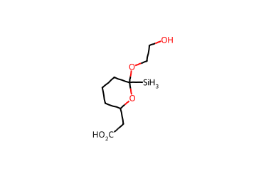 O=C(O)CC1CCCC([SiH3])(OCCO)O1